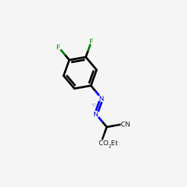 CCOC(=O)C(C#N)/N=N/c1ccc(F)c(F)c1